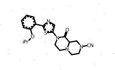 CC(C)Oc1ccccc1-c1ncc(N2CCN3CCN(C#N)CC3C2=O)s1